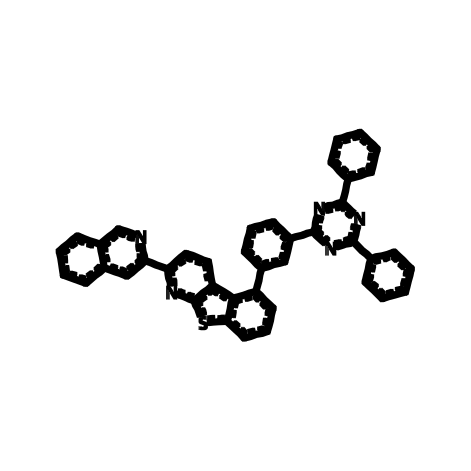 c1ccc(-c2nc(-c3ccccc3)nc(-c3cccc(-c4cccc5sc6nc(-c7cc8ccccc8cn7)ccc6c45)c3)n2)cc1